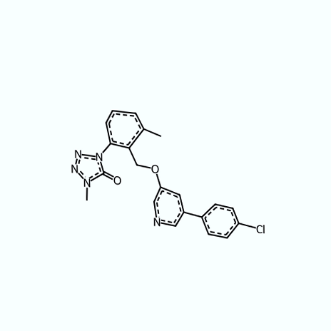 Cc1cccc(-n2nnn(C)c2=O)c1COc1cncc(-c2ccc(Cl)cc2)c1